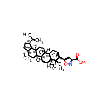 C=C(C)[C@@H]1CC[C@]2(CC)CC[C@]3(C)[C@H](CC[C@@H]4[C@@]5(C)CC=C(c6cc(C(=O)O)no6)C(C)(C)[C@@H]5CC[C@]43C)[C@@H]12